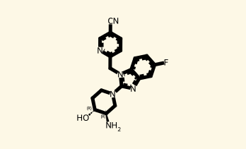 N#Cc1ccc(Cn2c(N3CC[C@@H](O)[C@H](N)C3)nc3cc(F)ccc32)nc1